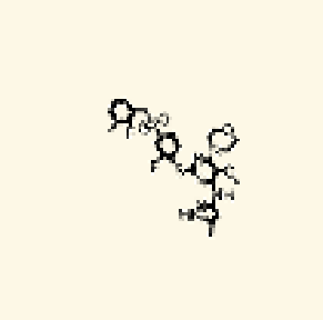 COc1c(Nc2cc(C)[nH]n2)nc(Sc2ccc(S(=O)(=O)Cc3cccc(C)c3F)cc2F)nc1N1CCOCC1